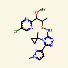 CC(C)OC(c1ncc(Cl)cn1)C(C)SNc1nnc(-c2ccn(C)n2)n1C1(C)CC1